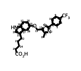 Cc1nc(-c2ccc(C(F)(F)F)cc2)sc1COc1ccc2[nH]cc(CCCCC(=O)O)c2c1